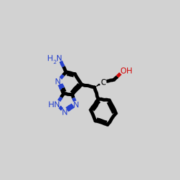 Nc1cc([C@H](CCO)c2ccccc2)c2nn[nH]c2n1